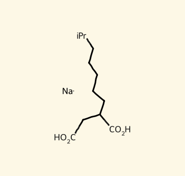 CC(C)CCCCCC(CC(=O)O)C(=O)O.[Na]